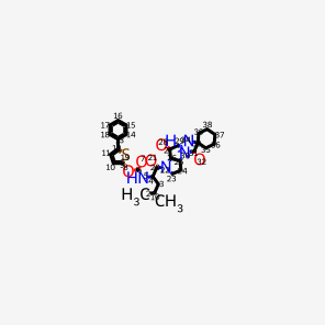 CC(C)CC(NC(=O)Oc1ccc(-c2ccccc2)s1)C(=O)N1CCC2C1C(=O)CN2C(=O)C1(N)CCCCC1